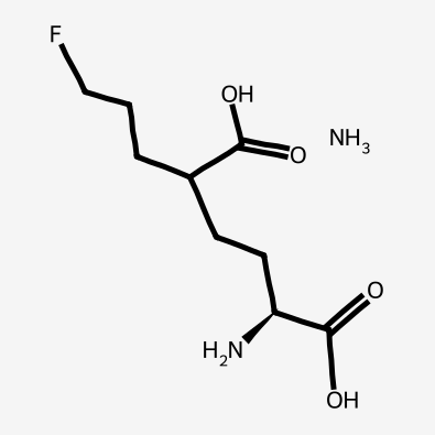 N.N[C@@H](CCC(CCCF)C(=O)O)C(=O)O